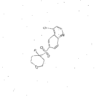 O=S(=O)(c1ccc2nccc(Cl)c2c1)C1(F)CCOCC1